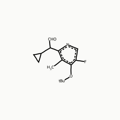 Cc1c(C(C=O)C2CC2)ncc(F)c1OC(C)(C)C